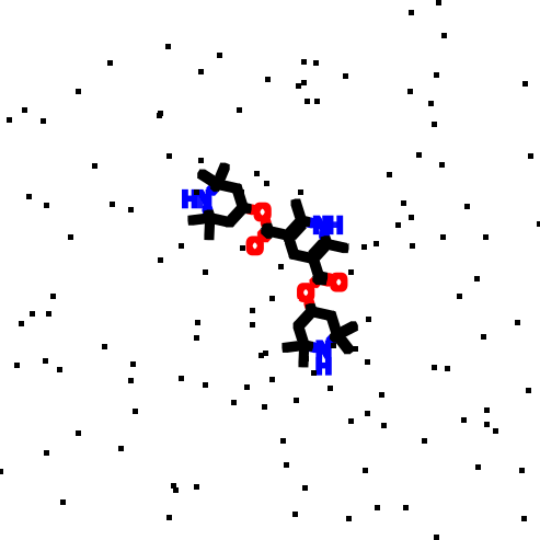 CC1=C(C(=O)OC2CC(C)(C)NC(C)(C)C2)CC(C(=O)OC2CC(C)(C)NC(C)(C)C2)=C(C)N1